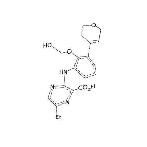 CCc1cnc(Nc2cccc(C3=CCOCC3)c2OCO)c(C(=O)O)n1